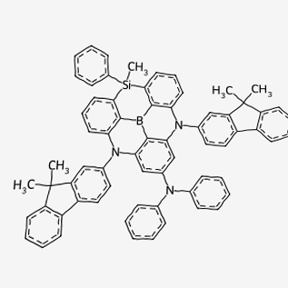 CC1(C)c2ccccc2-c2ccc(N3c4cc(N(c5ccccc5)c5ccccc5)cc5c4B4c6c3cccc6[Si](C)(c3ccccc3)c3cccc(c34)N5c3ccc4c(c3)C(C)(C)c3ccccc3-4)cc21